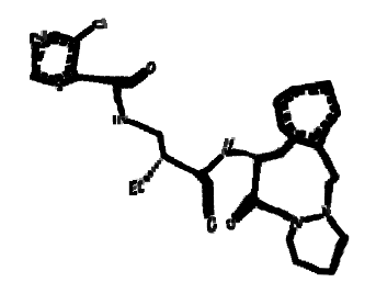 CC[C@H](CNC(=O)c1scnc1Cl)C(=O)N[C@@H]1C(=O)N2CCCN2Cc2ccccc21